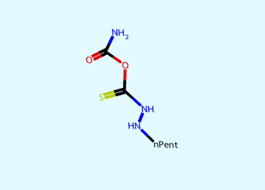 CCCCCNNC(=S)OC(N)=O